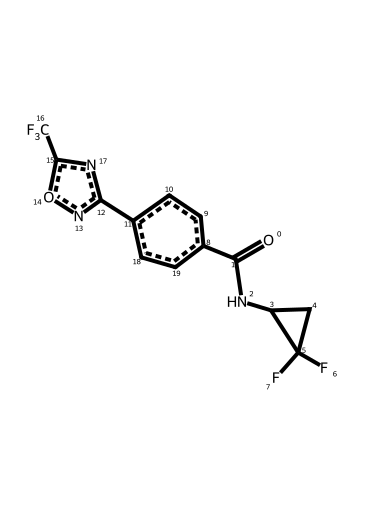 O=C(NC1CC1(F)F)c1ccc(-c2noc(C(F)(F)F)n2)cc1